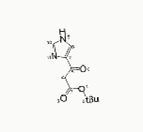 CC(C)(C)OC(=O)CC(=O)c1c[nH]cn1